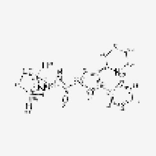 O=C(N[C@@H]1C[C@H]2CC[C@@H]1N2)c1ccc(-c2ccccc2N2CCCCC2)o1